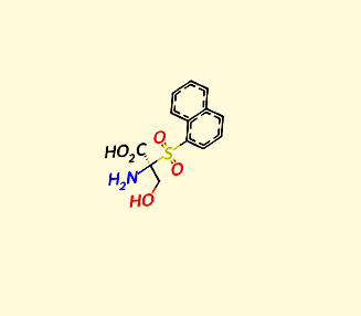 N[C@@](CO)(C(=O)O)S(=O)(=O)c1cccc2ccccc12